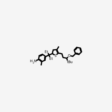 CCC(CC)(c1ccc(N)c(C)c1)C1CC(C)=C(CCC(OCc2ccccc2)C(C)(C)C)S1